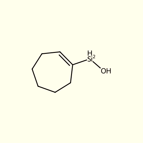 O[SiH2]C1=CCCCCC1